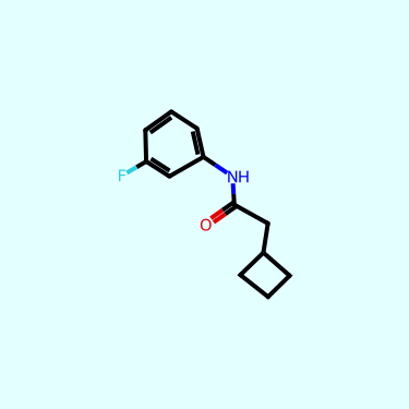 O=C(CC1CCC1)Nc1cccc(F)c1